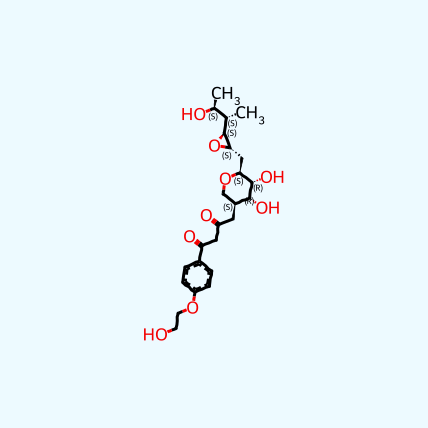 C[C@H]([C@@H]1O[C@H]1C[C@@H]1OC[C@H](CC(=O)CC(=O)c2ccc(OCCO)cc2)[C@@H](O)[C@H]1O)[C@H](C)O